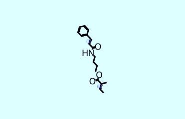 C/C=C(\C)C(=O)OCCCCNC(=O)/C=C/c1ccccc1